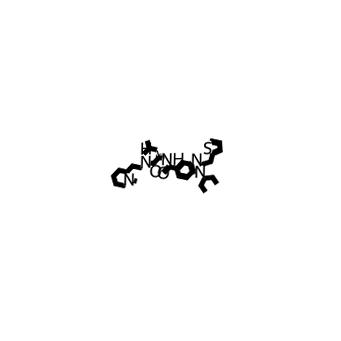 CCC(CC)n1c(Cc2cccs2)nc2cc(C(=O)N[C@@H](CC(C)C)C(=O)NCCC3CCCCN3C)ccc21